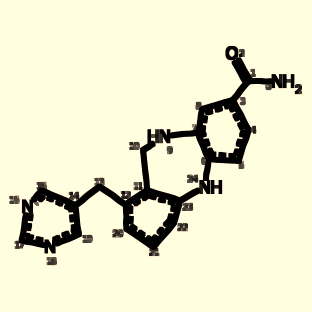 NC(=O)c1ccc2c(c1)NCc1c(Cc3cncnc3)cccc1N2